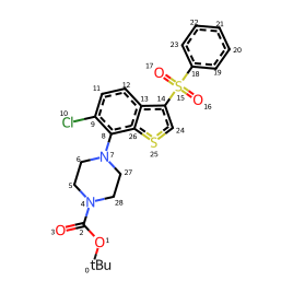 CC(C)(C)OC(=O)N1CCN(c2c(Cl)ccc3c(S(=O)(=O)c4ccccc4)csc23)CC1